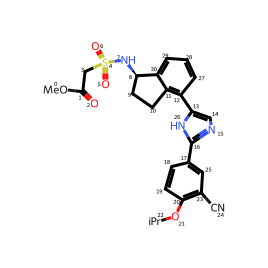 COC(=O)CS(=O)(=O)N[C@@H]1CCc2c(-c3cnc(-c4ccc(OC(C)C)c(C#N)c4)[nH]3)cccc21